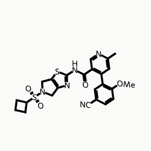 COc1ccc(C#N)cc1-c1cc(C)ncc1C(=O)Nc1nc2c(s1)CN(S(=O)(=O)C1CCC1)C2